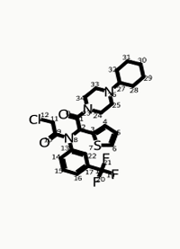 O=C(C(c1cccs1)N(C(=O)CCl)c1cccc(C(F)(F)F)c1)N1CCN(C2CCCCC2)CC1